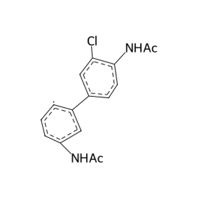 CC(=O)Nc1cc[c]c(-c2ccc(NC(C)=O)c(Cl)c2)c1